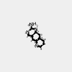 Nc1ncc2cc3ncccc3cc2n1